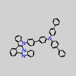 c1ccc(-c2ccc(N(c3ccc(-c4ccccc4)cc3)c3ccc(-c4ccc(-n5c6ccccc6c6c7ccccc7c7nc8ccccc8n7c65)cc4)cc3)cc2)cc1